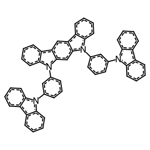 c1cc(-n2c3ccccc3c3ccccc32)cc(-n2c3ccccc3c3cc4c5ccccc5n(-c5cccc(-n6c7ccccc7c7ccccc76)c5)c4cc32)c1